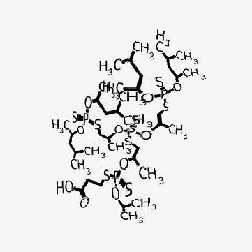 CC(C)CC(C)OP(=S)(OC(C)CC(C)C)SCC(C)OP(=S)(OC(C)CSP(=S)(OC(C)CC(C)C)OC(C)CC(C)C)SCC(C)OP(=S)(OC(C)C)SCCC(=O)O